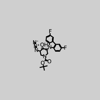 CC(C)(C)OC(=O)N1CC(N=[N+]=[N-])[C@H](O)[C@@H](n2c3ccc(F)cc3c3cc(F)ccc32)C1